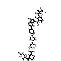 CCN(C)S(=O)(=O)Nc1ccc(F)c(C(=O)c2c[nH]c3ncc(-c4cnc(N5CCN(C(=O)CN6CCC(c7cc(NC8CCC(=O)NC8=O)ccn7)CC6)CC5)nc4)cc23)c1F